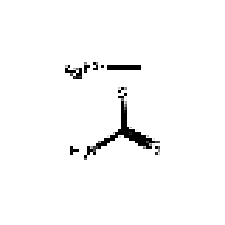 CCCC.NC(=S)[S-].[Ag+]